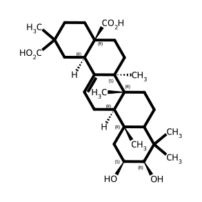 CC1(C(=O)O)CC[C@]2(C(=O)O)CC[C@]3(C)C(=CC[C@@H]4[C@@]5(C)C[C@H](O)[C@H](O)C(C)(C)C5CC[C@]43C)[C@H]2C1